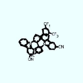 N#Cc1ccc(-n2c3ccccc3c3cc(C#N)ccc32)c(-c2cc(-c3cc(C(F)(F)F)cc(C(F)(F)F)c3)ccc2-n2c3ccccc3c3cc(C#N)ccc32)c1